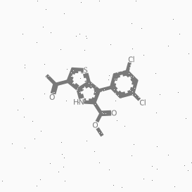 COC(=O)c1[nH]c2c(C(C)=O)csc2c1-c1cc(Cl)cc(Cl)c1